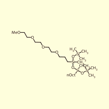 CCCCCCCC[Si](C)(O[Si](C)(C)C)O[Si](C)(CCCOCCOCCOCCOC)O[Si](C)(C)C